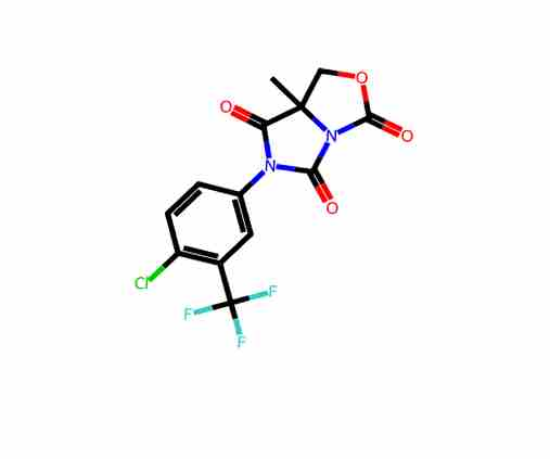 CC12COC(=O)N1C(=O)N(c1ccc(Cl)c(C(F)(F)F)c1)C2=O